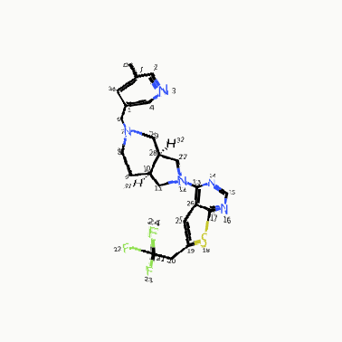 Cc1cncc(CN2CC[C@@H]3CN(c4ncnc5sc(CC(F)(F)F)cc45)C[C@@H]3C2)c1